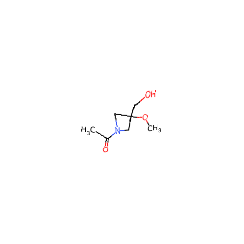 COC1(CO)CN(C(C)=O)C1